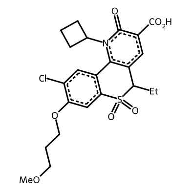 CCC1c2cc(C(=O)O)c(=O)n(C3CCC3)c2-c2cc(Cl)c(OCCCOC)cc2S1(=O)=O